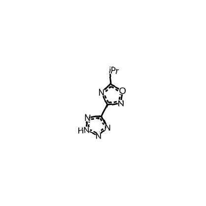 CC(C)c1nc(-c2nn[nH]n2)no1